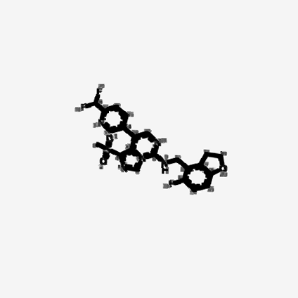 CS(=O)(=O)c1ncn2c(NCc3c(F)ccc4c3CCO4)ncc(-c3ccc(C(F)F)nc3)c12